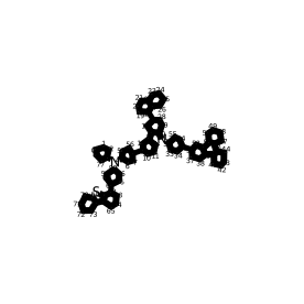 c1ccc(N(c2ccc(-c3ccc4c(c3)c3cc(-c5cccc6ccccc56)ccc3n4-c3ccc(-c4ccc5c6ccccc6c6ccccc6c5c4)cc3)cc2)c2ccc(-c3cccc4c3sc3ccccc34)cc2)cc1